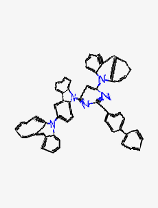 C1=Cc2c(c3ccccc3n2-c2cc(-n3c4ccccc4c4cc(-n5c6ccccc6c6ccccc65)ccc43)nc(-c3ccc(-c4ccccc4)cc3)n2)CC1